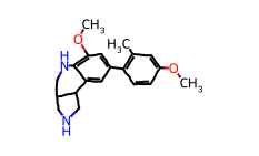 COc1ccc(-c2cc(OC)c3c(c2)C2CNCC2CN3)c(C)c1